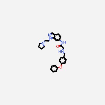 O=C(CNCc1ccc(Oc2ccccc2)cc1)Nc1ccc2cnn(CCN3CCCC3)c2c1